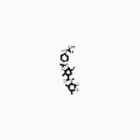 Cc1cc(C)c(N(C)C(=O)c2cc(F)c3c(c2C)OC(C)([C@H]2CC[C@H](NC(=O)O)CC2)O3)c(=O)[nH]1